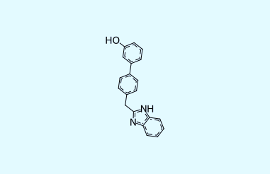 Oc1cccc(-c2ccc(Cc3nc4ccccc4[nH]3)cc2)c1